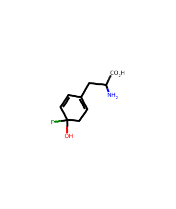 NC(CC1=CCC(O)(F)C=C1)C(=O)O